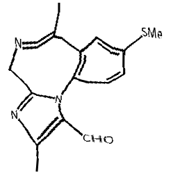 CSc1ccc2c(c1)C(C)=NCc1nc(C)c(C=O)n1-2